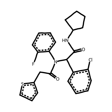 O=C(NC1CCCC1)C(c1ccccc1Cl)N(C(=O)Cc1cccs1)c1ccccc1F